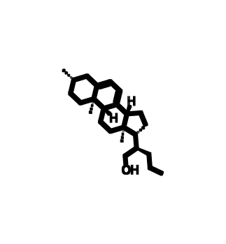 CCC[C@@H](CO)[C@H]1CC[C@H]2C3=CC=C4C[C@@H](C)CC[C@]4(C)[C@H]3CC[C@]12C